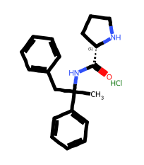 CC(Cc1ccccc1)(NC(=O)[C@@H]1CCCN1)c1ccccc1.Cl